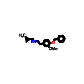 COc1cc(CCNCC2CC2C)ccc1OCc1ccccc1